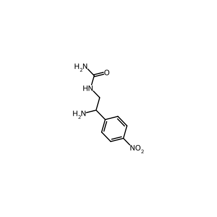 NC(=O)NCC(N)c1ccc([N+](=O)[O-])cc1